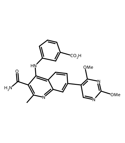 COc1ncc(-c2ccc3c(Nc4cccc(C(=O)O)c4)c(C(N)=O)c(C)nc3c2)c(OC)n1